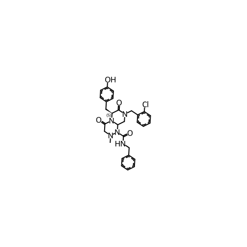 CN1CC(=O)N2C(CN(Cc3ccccc3Cl)C(=O)[C@@H]2Cc2ccc(O)cc2)N1C(=O)NCc1ccccc1